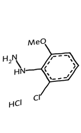 COc1cccc(Cl)c1NN.Cl